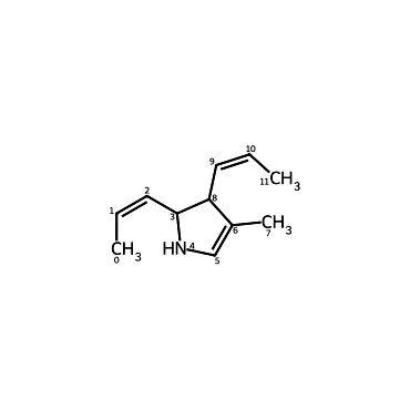 C/C=C\C1NC=C(C)C1/C=C\C